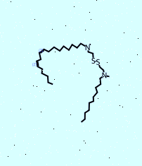 CCCCC/C=C\C/C=C\CCCCCCCCN(C)CCSSCCN(C)CCCCCCCCCCC